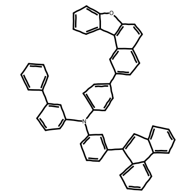 c1ccc(-c2cccc(N(c3ccc(-c4ccc5ccc6oc7ccccc7c6c5c4)cc3)c3cccc(-c4cc5ccccc5c5ccccc45)c3)c2)cc1